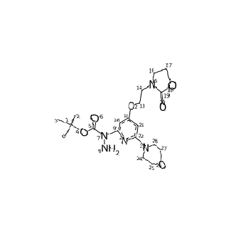 CC(C)(C)OC(=O)N(N)c1cc(OCCN2CCOC2=O)cc(N2CCOCC2)n1